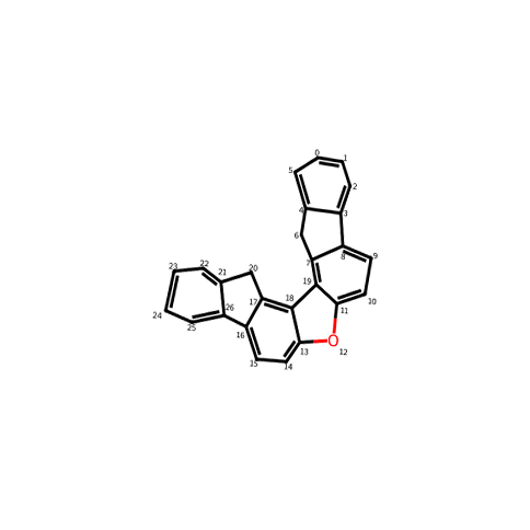 c1ccc2c(c1)Cc1c-2ccc2oc3ccc4c(c3c12)Cc1ccccc1-4